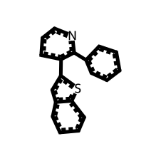 c1ccc(-c2ncccc2-c2cc3ccccc3s2)cc1